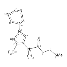 CSCCC(=O)N(C)c1cn(-c2cccnc2)nc1C(F)(F)F